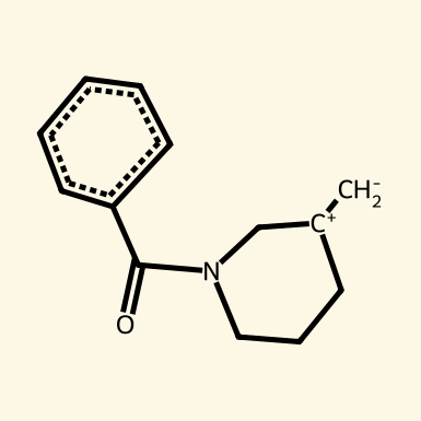 [CH2-][C+]1CCCN(C(=O)c2ccccc2)C1